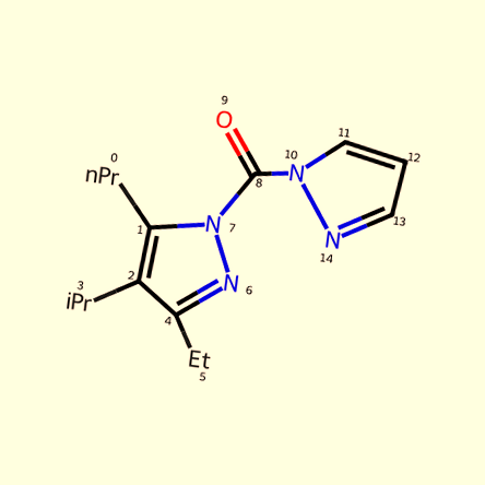 CCCc1c(C(C)C)c(CC)nn1C(=O)n1cccn1